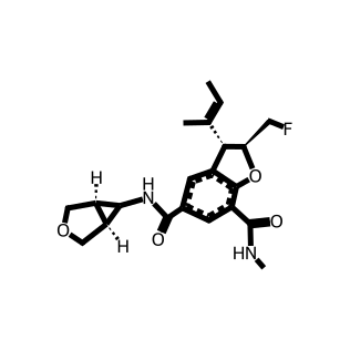 C/C=C(\C)[C@H]1c2cc(C(=O)NC3[C@H]4COC[C@@H]34)cc(C(=O)NC)c2O[C@@H]1CF